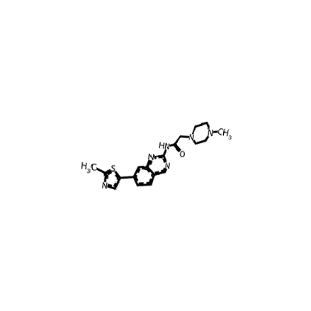 Cc1ncc(-c2ccc3cnc(NC(=O)CN4CCN(C)CC4)nc3c2)s1